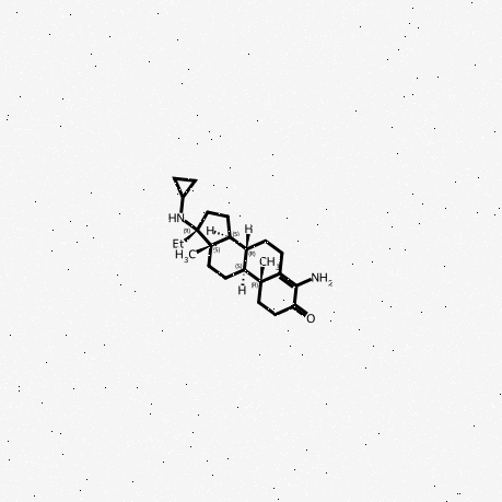 CC[C@@]1(NC2CC2)CC[C@H]2[C@@H]3CCC4=C(N)C(=O)CC[C@]4(C)[C@H]3CC[C@@]21C